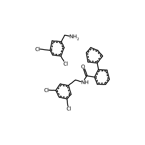 NCc1cc(Cl)cc(Cl)c1.O=C(NCc1cc(Cl)cc(Cl)c1)c1ccccc1-c1ccccc1